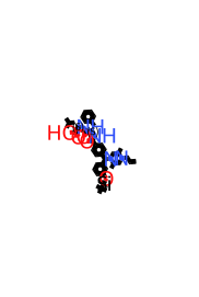 C=CCN1CC(C)N(C(c2ccc(C(=O)N[C@@H](Cc3ccccc3)C(=O)N[C@@H](CC(C)C)C(=O)O)cc2)c2cccc(O[Si](C)(C)C(C)(C)C)c2)CC1C